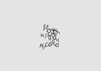 CCOCC1COCCOc2cc3nc(C)nc(NC(C)c4cc(N)cc(C(F)(F)F)c4)c3cc2O1